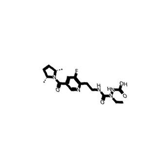 CCN(NC(=O)O)C(=O)NCCc1ncc(C(=O)N2[C@H](C)CC[C@@H]2C)cc1F